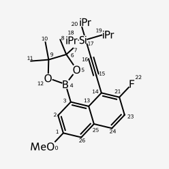 COc1cc(B2OC(C)(C)C(C)(C)O2)c2c(C#C[Si](C(C)C)(C(C)C)C(C)C)c(F)ccc2c1